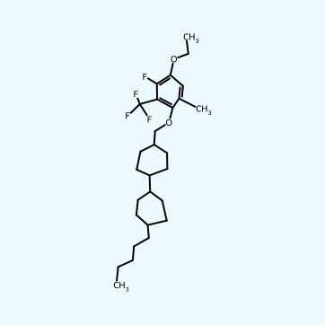 CCCCCC1CCC(C2CCC(COc3c(C)cc(OCC)c(F)c3C(F)(F)F)CC2)CC1